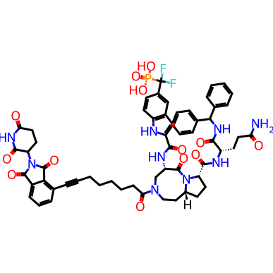 NC(=O)CC[C@H](NC(=O)[C@@H]1CC[C@@H]2CCN(C(=O)CCCCCC#Cc3cccc4c3C(=O)N(C3CCC(=O)NC3=O)C4=O)C[C@H](NC(=O)c3cc4cc(C(F)(F)P(=O)(O)O)ccc4[nH]3)C(=O)N21)C(=O)NC(c1ccccc1)c1ccccc1